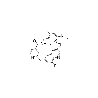 Cc1cc(N)nc(C)c1CNC(=O)c1ccnc(Cc2cc(F)c3ncc(Cl)cc3c2)c1